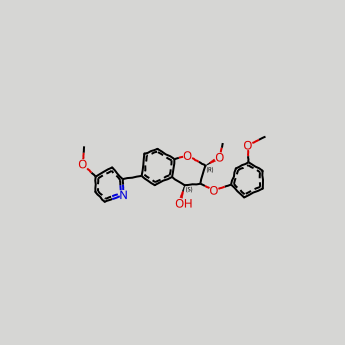 COc1cccc(OC2[C@H](OC)Oc3ccc(-c4cc(OC)ccn4)cc3[C@@H]2O)c1